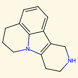 c1cc2c3c(c1)c1c(n3CCC2)CCNC1